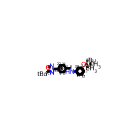 CC(C)(C)c1nc(C23CCC(CNc4cccc(O[Si](C)(C)C(C)(C)C)c4)(CC2)CC3)no1